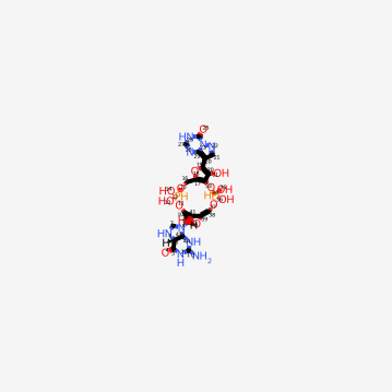 NC1NC(=O)[C@@H]2NCN(C3=C4O[PH](O)(O)OCc5oc(-c6cnn7c(=O)[nH]cnc67)c(O)c5O[PH](O)(O)O/C=C(/O3)[C@H]4O)C2N1